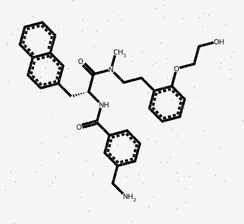 CN(CCc1ccccc1OCCO)C(=O)[C@@H](Cc1ccc2ccccc2c1)NC(=O)c1cccc(CN)c1